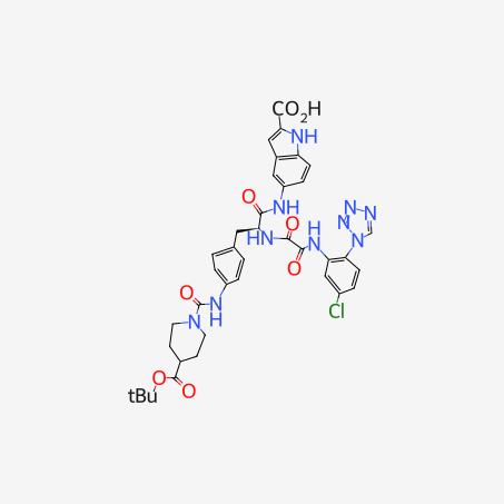 CC(C)(C)OC(=O)C1CCN(C(=O)Nc2ccc(C[C@H](NC(=O)C(=O)Nc3cc(Cl)ccc3-n3cnnn3)C(=O)Nc3ccc4[nH]c(C(=O)O)cc4c3)cc2)CC1